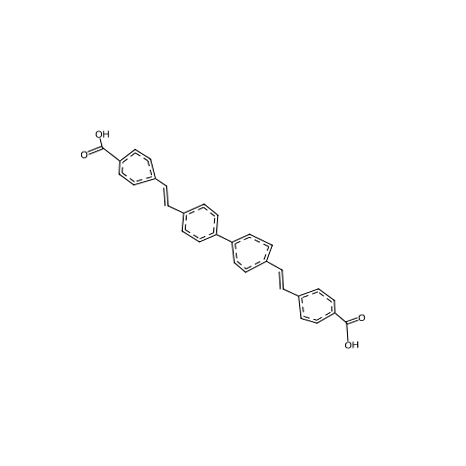 O=C(O)c1ccc(/C=C/c2ccc(-c3ccc(/C=C/c4ccc(C(=O)O)cc4)cc3)cc2)cc1